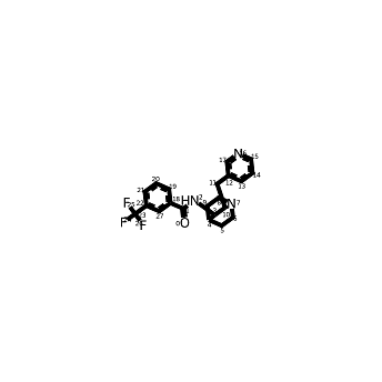 O=C(NC1C2CCN(CC2)C1Cc1cccnc1)c1cccc(C(F)(F)F)c1